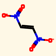 O=[N+]([O-])C=C[N+](=O)[O-]